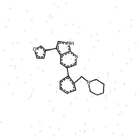 c1ccc(-c2cnc3[nH]cc(-c4ccoc4)c3c2)c(CN2CCCCC2)c1